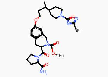 CC(C)c1noc(N2CCC(C(C)CCOc3ccc4c(c3)CN(C(=O)OC(C)(C)C)C(C(=O)N3CCCC3C(N)=O)C4)CC2)n1